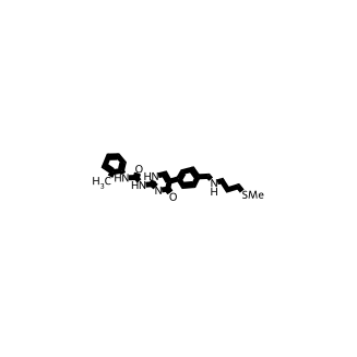 CSCCCNCc1ccc(-c2c[nH]c(NC(=O)Nc3ccccc3C)nc2=O)cc1